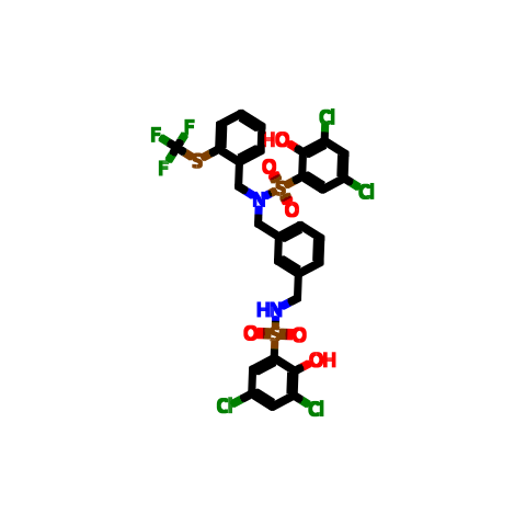 O=S(=O)(NCc1cccc(CN(Cc2ccccc2SC(F)(F)F)S(=O)(=O)c2cc(Cl)cc(Cl)c2O)c1)c1cc(Cl)cc(Cl)c1O